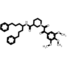 COc1cc(C(=O)C(=O)N2CCCC(C(=O)NC(CCCc3ccccc3)CCCc3ccccc3)C2)cc(OC)c1OC